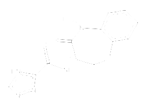 CN1C(=O)[C@@H](NC(=O)c2nnc[nH]2)COc2ccccc21